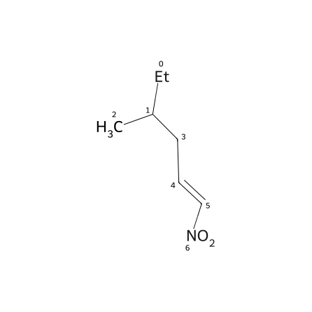 CCC(C)CC=C[N+](=O)[O-]